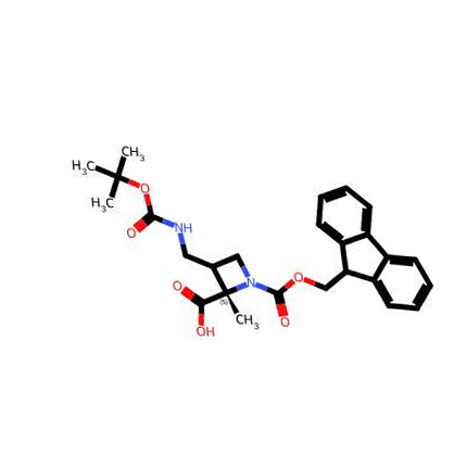 CC(C)(C)OC(=O)NCC1CN(C(=O)OCC2c3ccccc3-c3ccccc32)[C@]1(C)C(=O)O